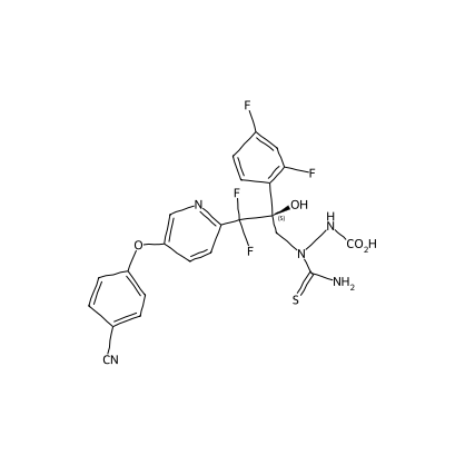 N#Cc1ccc(Oc2ccc(C(F)(F)[C@@](O)(CN(NC(=O)O)C(N)=S)c3ccc(F)cc3F)nc2)cc1